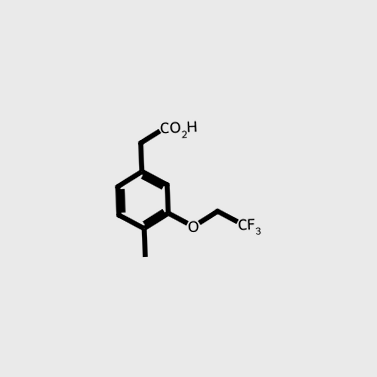 Cc1ccc(CC(=O)O)cc1OCC(F)(F)F